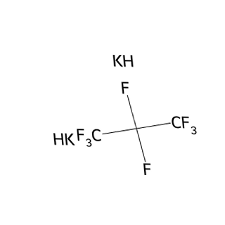 FC(F)(F)C(F)(F)C(F)(F)F.[KH].[KH]